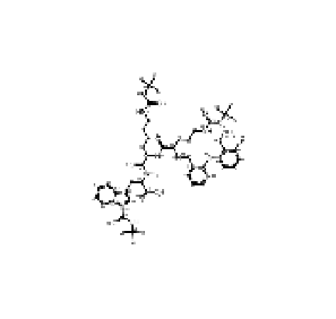 CN(C(=O)C(CCCCNC(=O)OC(C)(C)C)NC(=O)C(CCCNC(=O)OC(C)(C)C)NCc1cccnc1Sc1cccc(Br)c1CN)C(Cc1cn(C(=O)OC(C)(C)C)c2ccccc12)C(=O)O